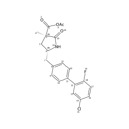 CC(=O)OC(=O)[C@]1(C)C[C@@H](Cc2ccc(-c3cc(Cl)ccc3F)cc2)NC1=O